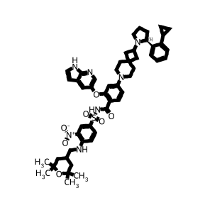 CC1(C)CC(CNc2ccc(S(=O)(=O)NC(=O)c3ccc(N4CCC5(CC4)CC(N4CCC[C@H]4c4ccccc4C4CC4)C5)cc3Oc3cnc4[nH]ccc4c3)cc2[N+](=O)[O-])CC(C)(C)O1